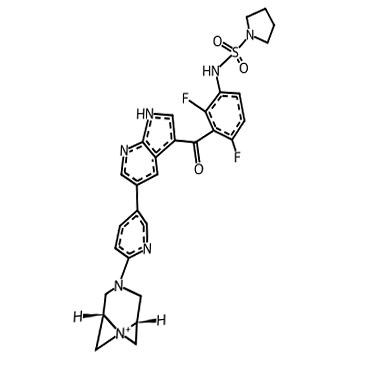 O=C(c1c(F)ccc(NS(=O)(=O)N2CCCC2)c1F)c1c[nH]c2ncc(-c3ccc(N4C[C@@H]5C[N+]56C[C@@H]6C4)nc3)cc12